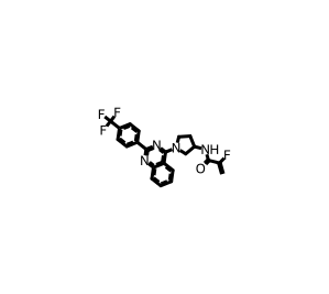 C=C(F)C(=O)NC1CCN(c2nc(-c3ccc(C(F)(F)F)cc3)nc3ccccc23)C1